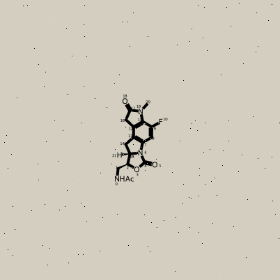 CC(=O)NC[C@@H]1OC(=O)N2c3cc(F)c4c(c3C[C@@H]12)CC(=O)N4C